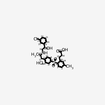 Cc1ccc(S(=O)(=O)c2ccc(C[C@@H](C)NC[C@@H](O)c3cccc(Cl)c3)cc2)c(CCC(=O)O)c1.Cl